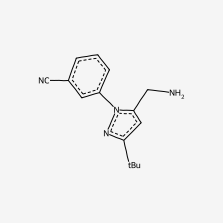 CC(C)(C)c1cc(CN)n(-c2cccc(C#N)c2)n1